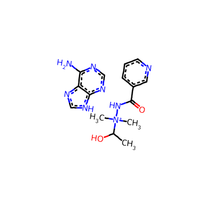 CC(O)[N+](C)(C)NC(=O)c1cccnc1.Nc1ncnc2[nH]cnc12